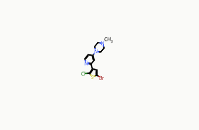 CN1CCN(c2ccnc(-c3cc(Br)sc3Cl)c2)CC1